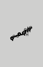 COc1cnc(NC(=O)N2CC/C(=C\c3cccc(OCCOc4cccc(C)c4)c3)C(C)C2)cn1